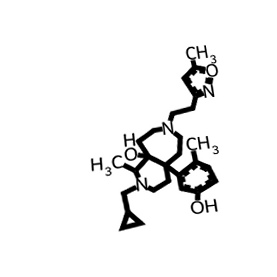 Cc1cc(CCN2CCC3(c4cc(O)ccc4C)CCN(CC4CC4)C(C)C3(O)CC2)no1